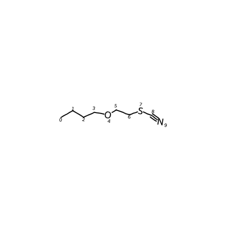 CCCCOCCSC#N